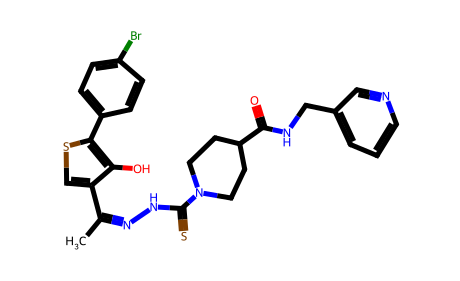 CC(=NNC(=S)N1CCC(C(=O)NCc2cccnc2)CC1)c1csc(-c2ccc(Br)cc2)c1O